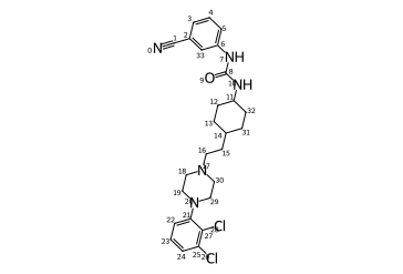 N#Cc1cccc(NC(=O)NC2CCC(CCN3CCN(c4cccc(Cl)c4Cl)CC3)CC2)c1